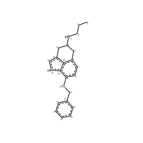 CCCNC1Cc2ccc(OCc3ccccc3)c3[nH]cc(c23)C1